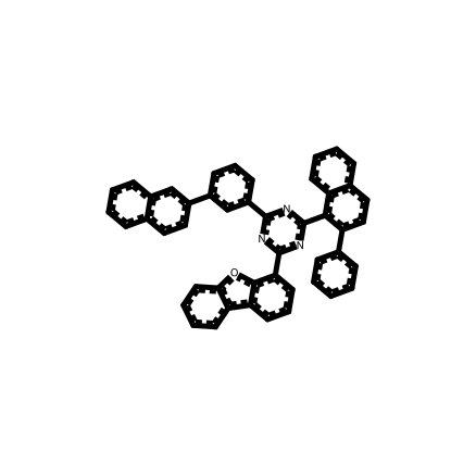 c1ccc(-c2ccc3ccccc3c2-c2nc(-c3cccc(-c4ccc5ccccc5c4)c3)nc(-c3cccc4c3oc3ccccc34)n2)cc1